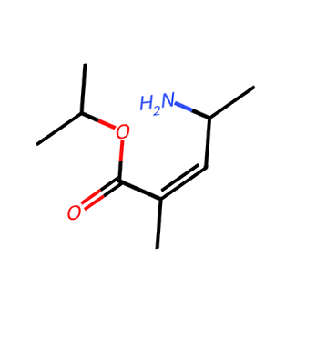 CC(=CC(C)N)C(=O)OC(C)C